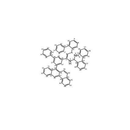 NC(N/C(=C\Cc1ccccc1-c1ccccc1)c1cc(-c2ccccc2)cc(-c2c3ccccc3cc3c2ccc2ccccc23)c1)c1ccccc1-c1ccccc1